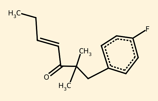 CC/C=C/C(=O)C(C)(C)Cc1ccc(F)cc1